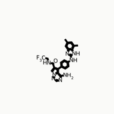 Cc1cc(C)c2[nH]c(Nc3ccc(-c4c(C(=O)NCC(F)(F)F)cn5ncnc(N)c45)cc3)nc2c1